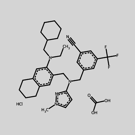 CCN(CC1CCCCC1)c1cc2c(cc1CN(Cc1cc(C#N)cc(C(F)(F)F)c1)c1ccn(C)n1)CCCC2.Cl.O=C(O)O